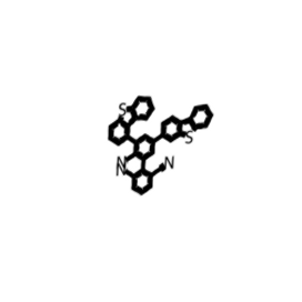 N#Cc1cccc(C#N)c1-c1cc(-c2ccc3c(c2)sc2ccccc23)cc(-c2cccc3sc4ccccc4c23)c1C#N